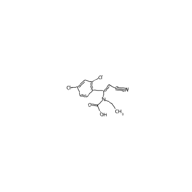 CCN(C(=O)O)/C(=C\C#N)c1ccc(Cl)cc1Cl